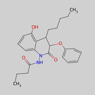 CCCCCC1c2c(O)cccc2N(NC(=O)CCC)C(=O)C1Oc1ccccc1